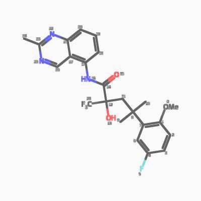 COc1ccc(F)cc1C(C)(C)CC(O)(C(=O)Nc1cccc2nc(C)ncc12)C(F)(F)F